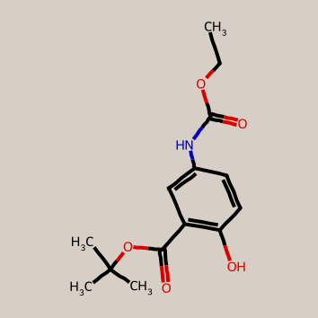 CCOC(=O)Nc1ccc(O)c(C(=O)OC(C)(C)C)c1